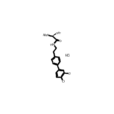 CCC[C@H](NC)C(=O)NCCc1ccc(-c2ccc(Cl)c(Cl)c2)cc1.Cl